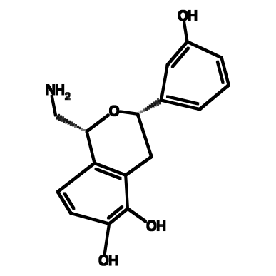 NC[C@@H]1O[C@H](c2cccc(O)c2)Cc2c1ccc(O)c2O